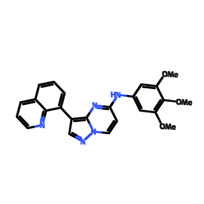 COc1cc(Nc2ccn3ncc(-c4cccc5cccnc45)c3n2)cc(OC)c1OC